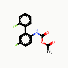 O=C(Nc1ccc(F)cc1-c1ccccc1F)OC(=O)C(F)(F)F